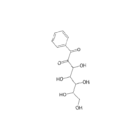 O=C(C(=O)C(O)C(O)C(O)C(O)CO)c1ccccc1